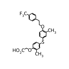 Cc1cc(Sc2ccc(OCC(=O)O)c(C)c2)ccc1OCCc1ccc(C(F)(F)F)cc1